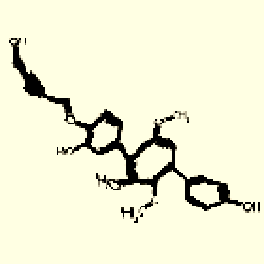 COc1cc(-c2ccc(O)cc2)c(OC)c(O)c1-c1ccc(OCC#CCO)c(O)c1